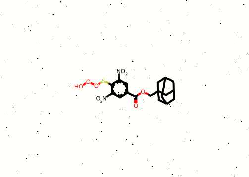 O=C(OCC12CC3CC(CC(C3)C1)C2)c1cc([N+](=O)[O-])c(SOOO)c([N+](=O)[O-])c1